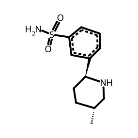 C[C@@H]1CC[C@@H](c2cccc(S(N)(=O)=O)c2)NC1